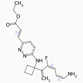 C=C(/C(F)=C\C=C/N)C1(Nc2ccc(/C=C/C(=O)OCC)nn2)CCC1